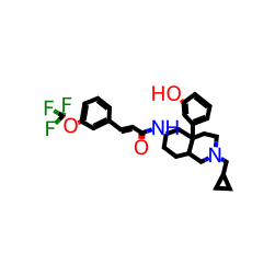 O=C(/C=C/c1cccc(OC(F)(F)F)c1)NC1CCC2CN(CC3CC3)CCC2(c2cccc(O)c2)C1